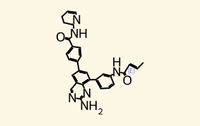 C/C=C/C(=O)Nc1cccc(-c2cc(-c3ccc(C(=O)NC4=NC=CCC4)cc3)cc3cnc(N)nc23)c1